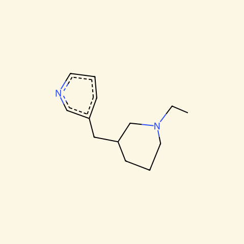 CCN1CCCC(Cc2cccnc2)C1